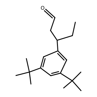 CCC(CC=O)c1cc(C(C)(C)C)cc(C(C)(C)C)c1